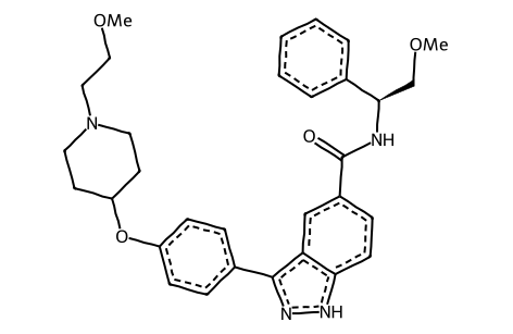 COCCN1CCC(Oc2ccc(-c3n[nH]c4ccc(C(=O)N[C@H](COC)c5ccccc5)cc34)cc2)CC1